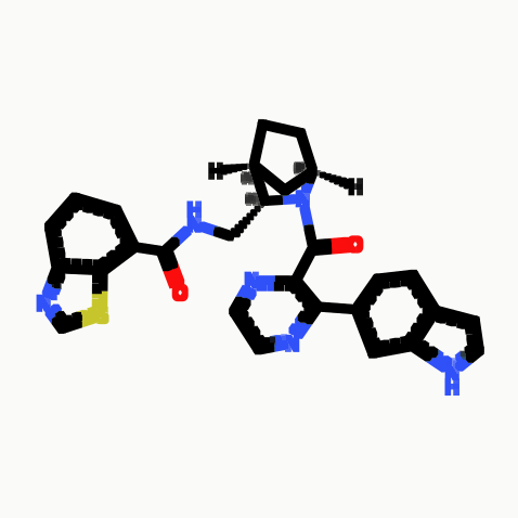 O=C(NC[C@@H]1[C@H]2CC[C@H](C2)N1C(=O)c1nccnc1-c1ccc2cc[nH]c2c1)c1cccc2ncsc12